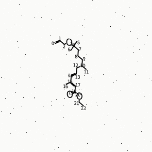 C=CCOC(C)(C)CCCC(C)CC=CC(C)=CC(=O)OCC